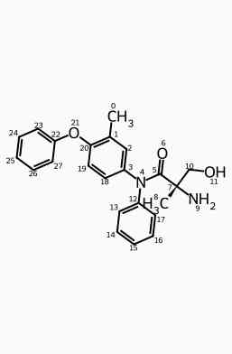 Cc1cc(N(C(=O)[C@@](C)(N)CO)c2ccccc2)ccc1Oc1ccccc1